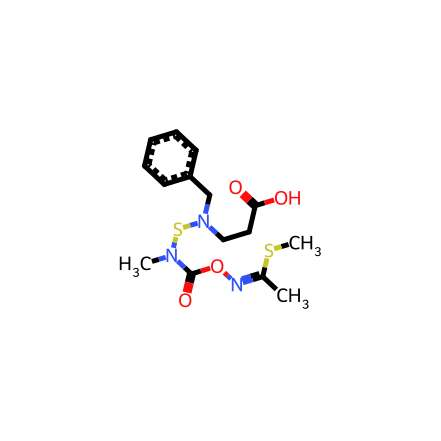 CSC(C)=NOC(=O)N(C)SN(CCC(=O)O)Cc1ccccc1